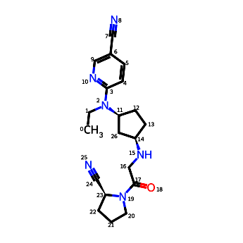 CCN(c1ccc(C#N)cn1)[C@H]1CC[C@@H](NCC(=O)N2CCC[C@H]2C#N)C1